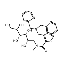 CN(C[C@H](O)[C@@H](O)[C@H](O)[C@H](O)CO)C(=O)c1sccc1CN(Cc1ccccn1)Cc1ccccn1